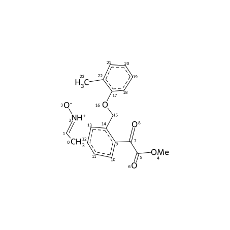 CC=[NH+][O-].COC(=O)C(=O)c1ccccc1COc1ccccc1C